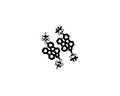 CC1(C)OB(c2ccc3c(c2)C2(c4ccccc4-c4ccccc42)c2c-3ccc3cc(B4OC(C)(C)C(C)(C)O4)ccc23)OC1(C)C.O=S(=O)(Oc1ccc2c(c1)C1(c3ccccc3-c3ccccc31)c1c-2ccc2cc(OS(=O)(=O)C(F)(F)F)ccc12)C(F)(F)F